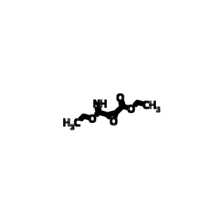 CCOC(=N)C1OC1C(=O)OCC